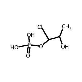 CC(O)C(Cl)OP(=O)(O)O